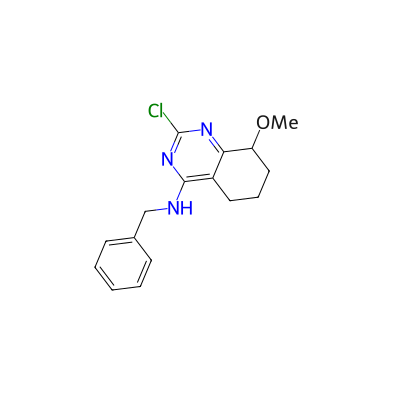 COC1CCCc2c(NCc3ccccc3)nc(Cl)nc21